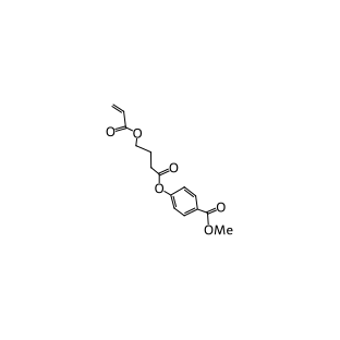 C=CC(=O)OCCCC(=O)Oc1ccc(C(=O)OC)cc1